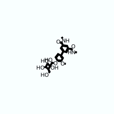 CNC(=O)c1cc(C(=O)NC)cc(-c2ccc(OC(O)C3(O)C(O)C(O)C3CO)c(OC)c2)c1